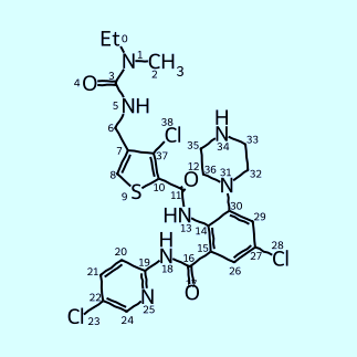 CCN(C)C(=O)NCc1csc(C(=O)Nc2c(C(=O)Nc3ccc(Cl)cn3)cc(Cl)cc2N2CCNCC2)c1Cl